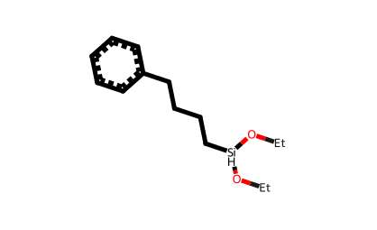 CCO[SiH](CCCCc1ccccc1)OCC